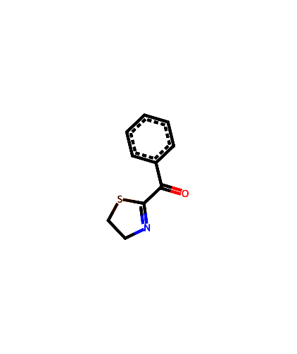 O=C(C1=NCCS1)c1ccccc1